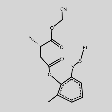 CCSSc1cccc(C)c1OC(=O)C[C@H](C)C(=O)OCC#N